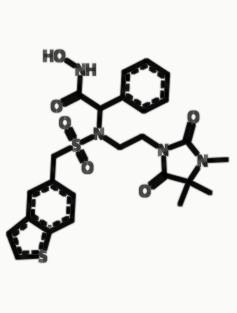 CN1C(=O)N(CCN(C(C(=O)NO)c2ccccc2)S(=O)(=O)Cc2ccc3sccc3c2)C(=O)C1(C)C